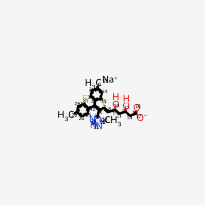 Cc1ccc(C(=C(C=CC(O)CC(O)CC(=O)[O-])c2nnnn2C)c2ccc(C)cc2F)c(F)c1.[Na+]